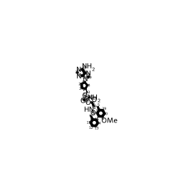 COc1ccc(C[C@H](NOCc2ccccc2)C(=O)OP(N)(=O)OC[C@H]2C=C[C@@H](n3cnc4c(N)ncnc43)C2)cc1